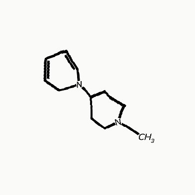 CN1CCC(N2C=CC=CC2)CC1